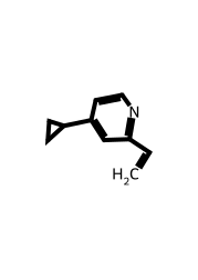 C=Cc1cc(C2CC2)ccn1